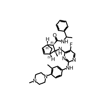 Cc1cc(Nc2ncc(F)c(N[C@]3(C)[C@@H]4C=C[C@@H](C4)[C@H]3C(=O)NC(C)c3ccccc3)n2)ccc1N1CCN(C)CC1